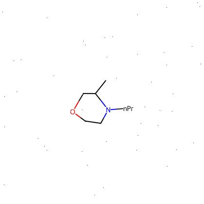 [CH2]CCN1CCOCC1C